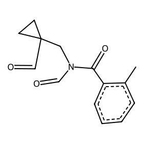 Cc1ccccc1C(=O)N(C=O)CC1(C=O)CC1